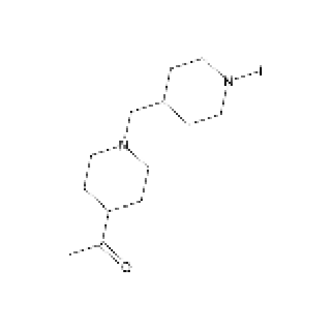 CC(=O)C1CCN(CC2CCN(I)CC2)CC1